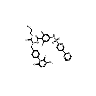 Cn1ccc(=O)n(-c2ccc(C[C@H](NC(=O)c3c(F)cc(NS(=O)(=O)c4ccc(-c5ncccn5)cn4)cc3F)C(=O)OCCO)cc2)c1=O